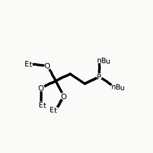 CCCCP(CCCC)CCC(OCC)(OCC)OCC